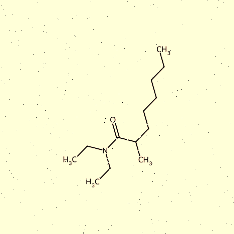 CCCCCCC(C)C(=O)N(CC)CC